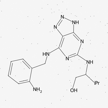 CC(C)C(CO)Nc1nc(NCc2ccccc2N)c2nn[nH]c2n1